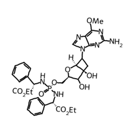 CCOC(=O)[C@@H](NP(=O)(N[C@H](C(=O)OCC)c1ccccc1)OC[C@H]1O[C@H]2C(n3cnc4c(OC)nc(N)nc43)C[C@]2(O)C1O)c1ccccc1